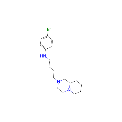 Brc1ccc(NCCCCN2CCN3CCCCC3C2)cc1